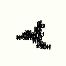 COC(=O)N1CC[C@@H](Nc2cc(-c3ccc4cc(C#N)cnn34)ncc2C(=O)NC[C@@H](F)C(C)(C)O)C1